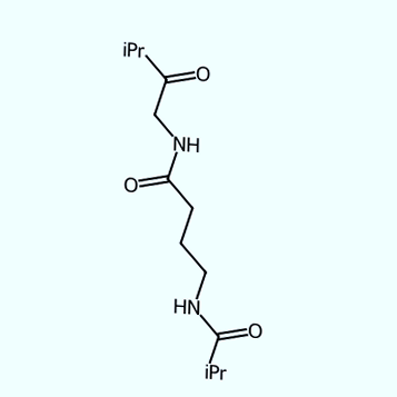 CC(C)C(=O)CNC(=O)CCCNC(=O)C(C)C